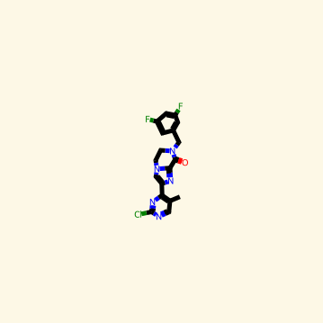 Cc1cnc(Cl)nc1-c1cn2c(n1)C(=O)N(Cc1cc(F)cc(F)c1)CC2